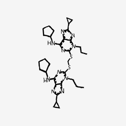 CCCn1c(SCSc2nc(NC3CCCC3)c3nc(C4CC4)nc-3n2CCC)nc(NC2CCCC2)c2nc(C3CC3)nc1-2